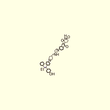 CC/C(=C(\c1ccc(O)cc1)c1ccc(N2CCC(CNC3CCN(c4ccc5c(c4)CN(C4CCC(=O)NC4=O)C5=O)C3)CC2)cc1)c1ccccc1